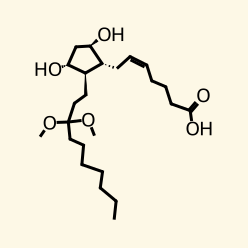 CCCCCCCC(CC[C@@H]1[C@@H](C/C=C\CCCC(=O)O)[C@H](O)C[C@H]1O)(OC)OC